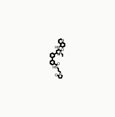 CCn1nc(-c2cccc(-c3cccc(C(=O)NCCCN4CCCC4=O)c3)c2)cc(Nc2cccc3ncccc23)c1=O